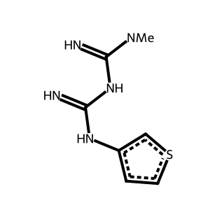 CNC(=N)NC(=N)Nc1ccsc1